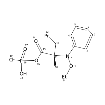 CCON(c1ccccc1)[C@@](C)(CC(C)C)C(=O)OP(=O)(O)Cl